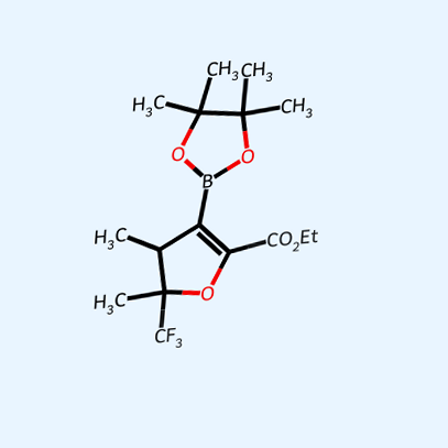 CCOC(=O)C1=C(B2OC(C)(C)C(C)(C)O2)C(C)C(C)(C(F)(F)F)O1